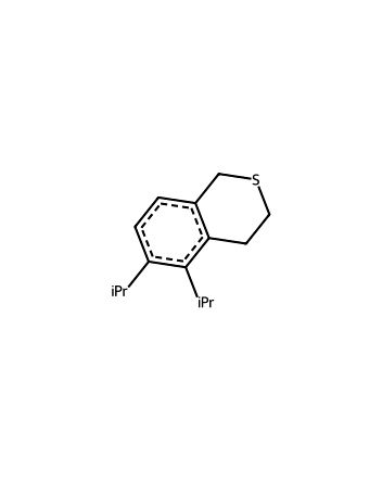 CC(C)c1ccc2c(c1C(C)C)CCSC2